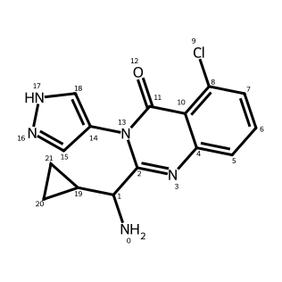 NC(c1nc2cccc(Cl)c2c(=O)n1-c1cn[nH]c1)C1CC1